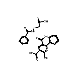 O=C(O)CONC(=O)c1ccccc1.O=C(O)c1cc(C(=O)O)c(-c2ccccc2)nc1O